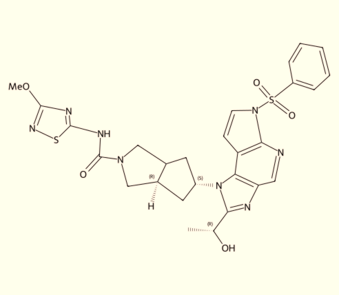 COc1nsc(NC(=O)N2CC3C[C@H](n4c([C@@H](C)O)nc5cnc6c(ccn6S(=O)(=O)c6ccccc6)c54)C[C@H]3C2)n1